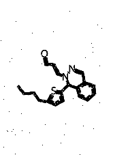 CCCCc1ccc(C2c3ccccc3C=NN2C=CC=O)s1